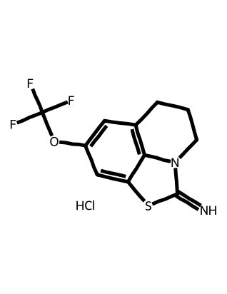 Cl.N=c1sc2cc(OC(F)(F)F)cc3c2n1CCC3